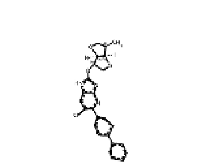 C[C@@H]1CO[C@H]2[C@@H]1OC[C@H]2Oc1nc2nc(-c3ccc(-c4ccccc4)cc3)c(Cl)cc2[nH]1